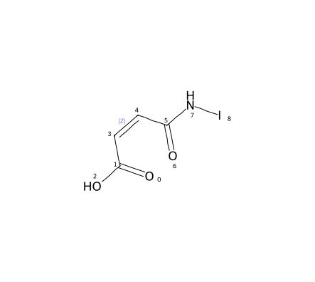 O=C(O)/C=C\C(=O)NI